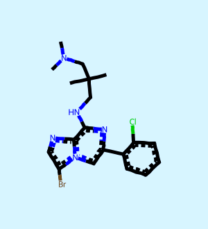 CN(C)CC(C)(C)CNc1nc(-c2ccccc2Cl)cn2c(Br)cnc12